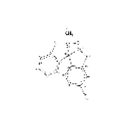 C[N+]1(C)Cc2ccccc2[B-]12OCc1cc(F)ccc12